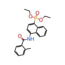 CCOP(=O)(OCC)c1ccc(NC(=O)c2ccccc2C)c2ccccc12